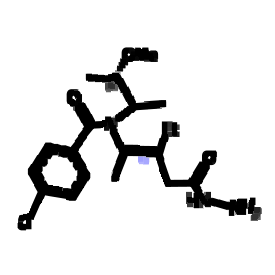 CC/C(CC(=O)NN)=C(/C)N(C(=O)c1ccc(Cl)cc1)C(C)[C@H](C)OC